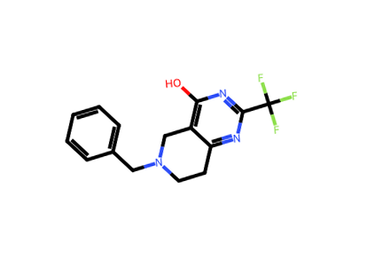 Oc1nc(C(F)(F)F)nc2c1CN(Cc1ccccc1)CC2